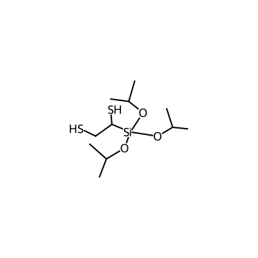 CC(C)O[Si](OC(C)C)(OC(C)C)C(S)CS